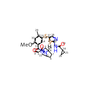 C=CC(=O)N1C2CC[C@H]1CN(C(=O)c1cc(Sc3cnc(NC(=O)C4CC4)s3)c(C)cc1OC)C2